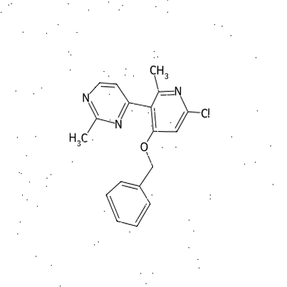 Cc1nccc(-c2c(OCc3ccccc3)cc(Cl)nc2C)n1